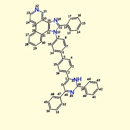 C1=C(c2ccc(-c3ccc(-n4c(-c5ccccc5)nc5c6cnccc6c6ccccc6c54)cc3)cc2)NC(c2ccccc2)N=C1c1ccccc1